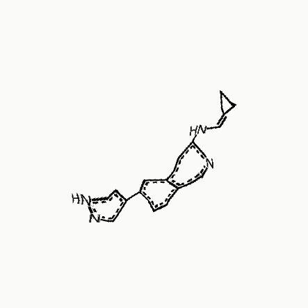 C(Nc1cc2cc(-c3cn[nH]c3)ccc2cn1)=C1CC1